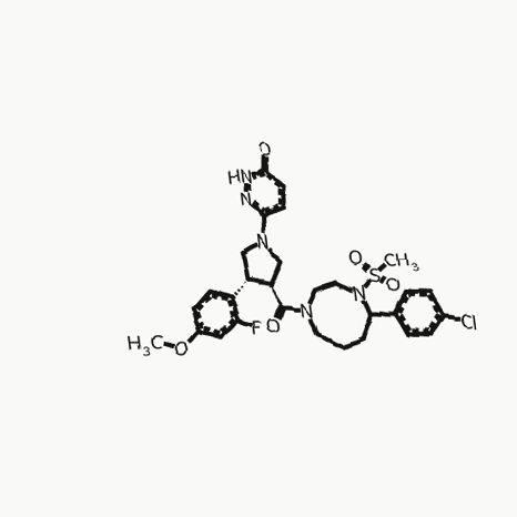 COc1ccc([C@@H]2CN(c3ccc(=O)[nH]n3)C[C@H]2C(=O)N2CCCC(c3ccc(Cl)cc3)N(S(C)(=O)=O)CC2)c(F)c1